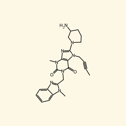 CC#CCn1c(N2CCCC(N)C2)nc2c1c(=O)n(Cc1nc3ccccc3n1C)c(=O)n2C